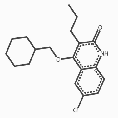 CCCc1c(OCC2CCCCC2)c2cc(Cl)ccc2[nH]c1=O